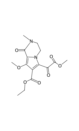 CCOC(=O)c1c(OC)c2n(c1C(=O)C(=O)OC)CCN(C)C2=O